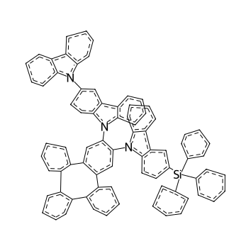 c1ccc([Si](c2ccccc2)(c2ccccc2)c2ccc3c(c2)c2ccccc2n3-c2cc3c(cc2-n2c4ccccc4c4cc(-n5c6ccccc6c6ccccc65)ccc42)-c2ccccc2-c2ccccc2-c2ccccc2-3)cc1